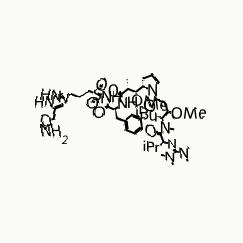 CC[C@H](C)[C@@H]([C@@H](CC(=O)N1CCC[C@H]1[C@H](OC)[C@@H](C)C(=O)N[C@@H](Cc1ccccc1)C(=O)NS(=O)(=O)CCCN1C=C(CON)NN1)OC)N(C)C(=O)[C@@H](N=C(N(C)C)N(C)C)C(C)C